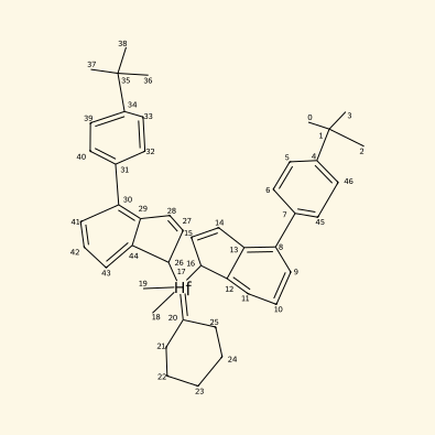 CC(C)(C)c1ccc(-c2cccc3c2C=C[CH]3[Hf]([CH3])([CH3])(=[C]2CCCCC2)[CH]2C=Cc3c(-c4ccc(C(C)(C)C)cc4)cccc32)cc1